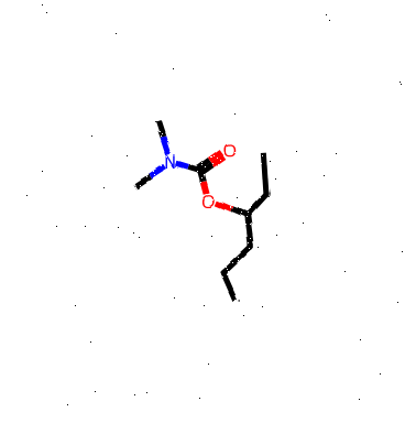 [CH2]CCC(CC)OC(=O)N(C)C